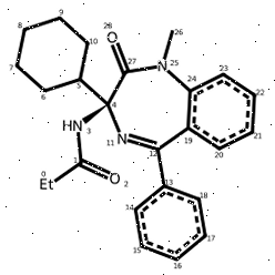 CCC(=O)N[C@]1(C2CCCCC2)N=C(c2ccccc2)c2ccccc2N(C)C1=O